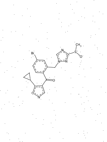 C[S+]([O-])c1ncn(Cc2cc(Br)ccc2C(=O)c2cnoc2C2CC2)n1